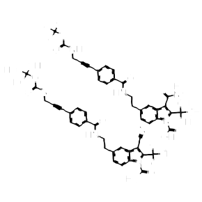 CC(C)(C)OC(=O)NCC#Cc1ccc(C(=O)NCCc2ccc3c(c2)c(C#N)c(C(C)(C)C)n3C(=O)O)cc1.CC(C)(C)OC(=O)NCC#Cc1ccc(C(=O)NCCc2ccc3c(c2)c(C(N)=S)c(C(C)(C)C)n3C(=O)O)cc1